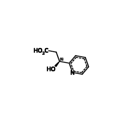 O=C(O)C[C@H](O)c1ccccn1